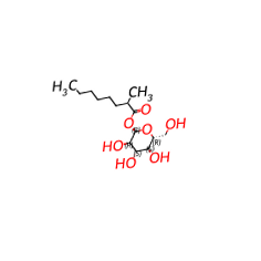 CCCCCCC(C)C(=O)O[C@H]1O[C@H](CO)[C@@H](O)[C@H](O)[C@H]1O